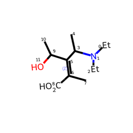 CCN(CC)C(C)/C(=C(\C)C(=O)O)C(C)O